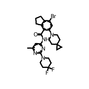 Cc1cc(NC(=O)c2c(N3CCC4(CC3)CC4)cc(Br)c3c2CCC3)nc(N2CCC(F)(F)CC2)n1